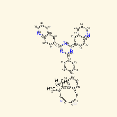 C=C1/C=C\C=C/Cc2ccc(-c3ccc(-c4nc(-c5ccc6ncccc6c5)nc(-c5ccc6ncccc6c5)n4)cc3)cc2C1(C)C